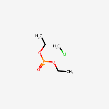 CCO[PH](=O)OCC.CCl